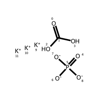 O=C(O)O.O=P([O-])([O-])[O-].[K+].[K+].[K+]